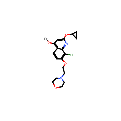 CC(C)Oc1cc(OC2CC2)nc2c(Cl)c(OCCN3CCOCC3)ccc12